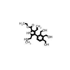 C=Cc1c(C(=O)OCC)[nH]c(CNC)c1-c1ccc(CO)c(CO)c1CO